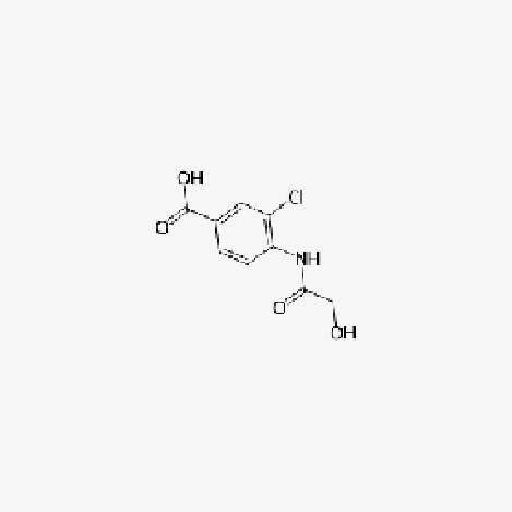 O=C(CO)Nc1ccc(C(=O)O)cc1Cl